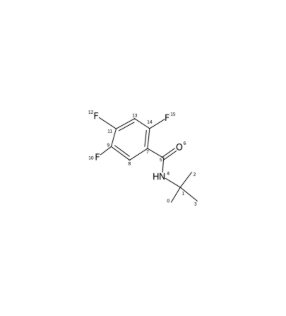 CC(C)(C)NC(=O)c1cc(F)c(F)cc1F